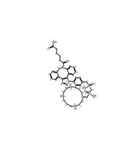 O=C(O)CCCCC(=O)N1Cc2ccccc2-c2nnn(-c3ccc(CP(=O)(O)CP(=O)(O)CN4CCCNCCNCCCNCC4)cc3)c2-c2ccccc21